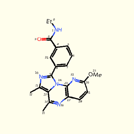 CCNC(=O)c1cccc(-c2nc(C)c3c(C)nc4ccc(OC)nc4n23)c1